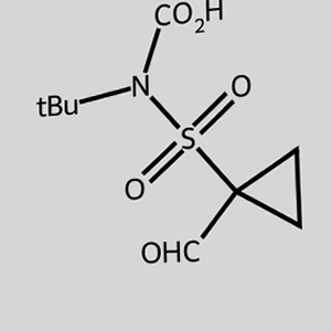 CC(C)(C)N(C(=O)O)S(=O)(=O)C1(C=O)CC1